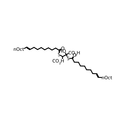 CCCCCCCCC=CCCCCCCCC(=O)SC(C(=O)O)C(O)(SC(=O)CCCCCCCC=CCCCCCCCC)C(=O)O